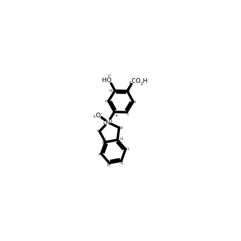 O=C(O)c1ccc([N+]2([O-])Cc3ccccc3C2)cc1O